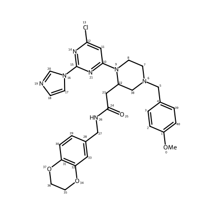 COc1ccc(CN2CCN(c3cc(Cl)nc(-n4ccnc4)n3)C(CC(=O)NCc3ccc4c(c3)OCCO4)C2)cc1